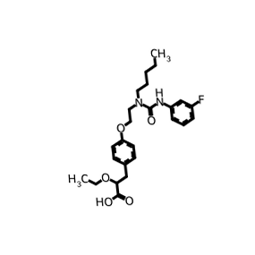 CCCCCN(CCOc1ccc(CC(OCC)C(=O)O)cc1)C(=O)Nc1cccc(F)c1